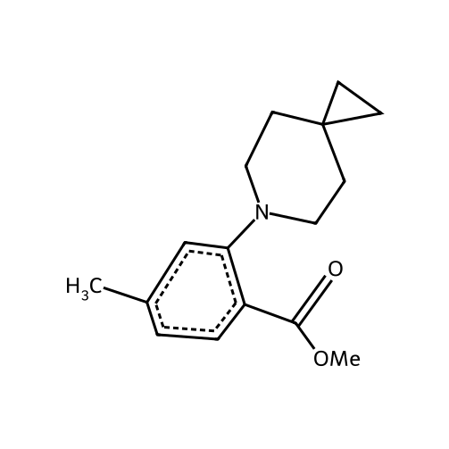 COC(=O)c1ccc(C)cc1N1CCC2(CC1)CC2